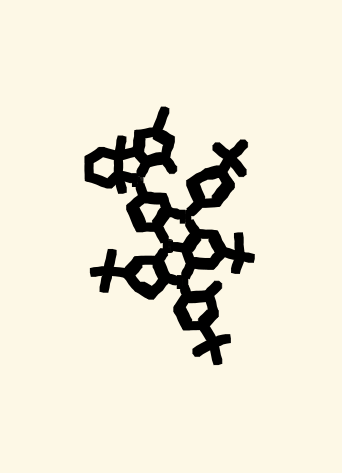 Cc1cc(C)c2c(c1)C1(C)CCCCC1(C)N2c1ccc2c(c1)N(c1ccc(C(C)(C)C)cc1)c1cc(C(C)(C)C)cc3c1B2c1cc(C(C)(C)C)ccc1N3c1ccc(C(C)(C)C)cc1C